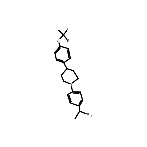 CC(N)c1ccc(N2CCC(c3ccc(OC(F)(F)F)cc3)CC2)cc1